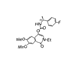 CCn1cc(OC(=O)N[C@@H](C)c2ccc(F)cc2)c2cc(OC)c(OC)cc2c1=O